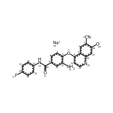 N#Cc1cc2c(Oc3ccc(C(=O)Nc4ccc(F)cc4)cc3N)ccnc2cc1[O-].[Na+]